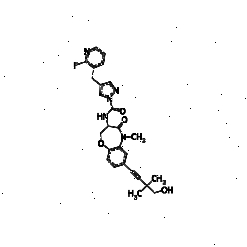 CN1C(=O)C(NC(=O)n2cc(Cc3cccnc3F)cn2)COc2ccc(C#CC(C)(C)CO)cc21